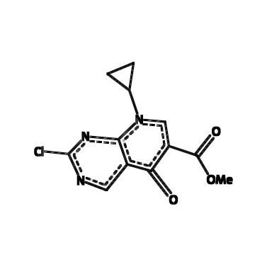 COC(=O)c1cn(C2CC2)c2nc(Cl)ncc2c1=O